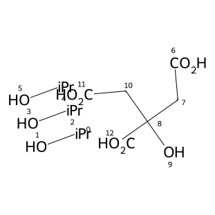 CC(C)O.CC(C)O.CC(C)O.O=C(O)CC(O)(CC(=O)O)C(=O)O